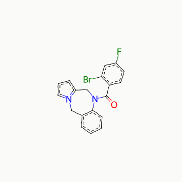 O=C(c1ccc(F)cc1Br)N1Cc2cccn2Cc2ccccc21